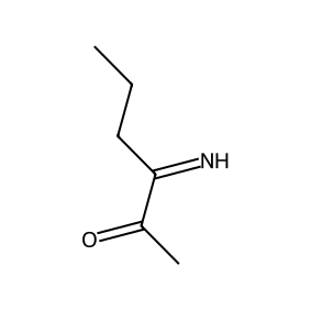 CCCC(=N)C(C)=O